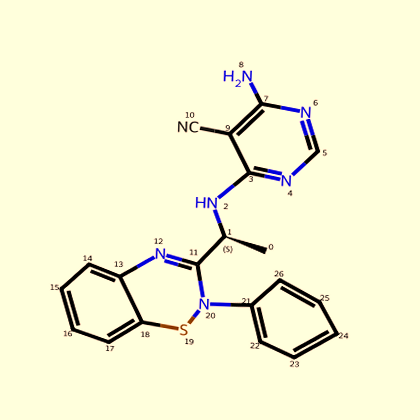 C[C@H](Nc1ncnc(N)c1C#N)C1=Nc2ccccc2SN1c1ccccc1